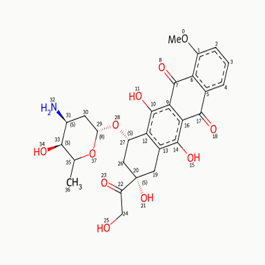 COc1cccc2c1C(=O)c1c(O)c3c(c(O)c1C2=O)C[C@@](O)(C(=O)CO)C[C@@H]3O[C@H]1C[C@H](N)[C@H](O)C(C)O1